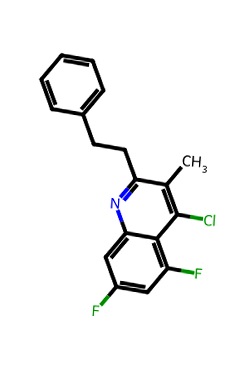 Cc1c(CCc2ccccc2)nc2cc(F)cc(F)c2c1Cl